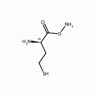 NOC(=O)[C@H](N)CCS